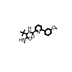 CNC(=O)C(NC(=O)c1cccc(-c2cccc(OC)c2)n1)C(C)(C)C